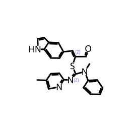 Cc1ccc(/N=C(\S/C(C=O)=C\c2ccc3[nH]ccc3c2)N(C)c2ccccc2)nc1